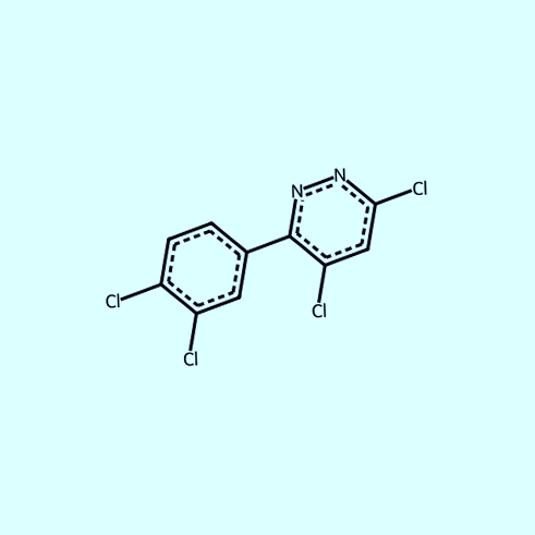 Clc1cc(Cl)c(-c2ccc(Cl)c(Cl)c2)nn1